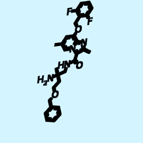 Cc1cc(OCc2c(F)cccc2F)c2nc(C)c(C(=O)NCC(C)(N)CCOCc3ccccc3)n2c1